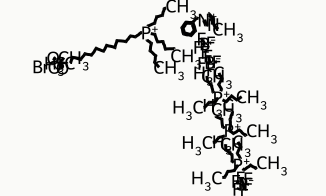 CCCCCCCCCCCCCC[P+](CCCCCC)(CCCCCC)CCCCCC.CCCC[P+](CCCC)(CCCC)CCCC.CCCC[P+](CCCC)(CCCC)CCCC.CCCC[P+](CCCC)(CCCC)CCCC.CS(=O)(=O)[O-].Cn1cc[n+](Cc2ccccc2)c1.F[B-](F)(F)F.F[B-](F)(F)F.F[P-](F)(F)(F)(F)F.[Br-]